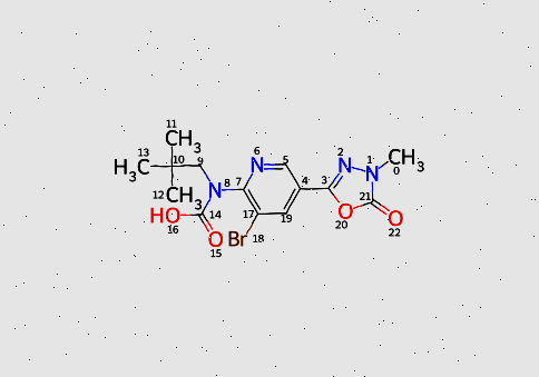 Cn1nc(-c2cnc(N(CC(C)(C)C)C(=O)O)c(Br)c2)oc1=O